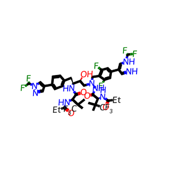 CCC(=O)NC(C(=O)N[C@@H](Cc1ccc(-c2cnn(C(F)F)c2)cc1)[C@@H](O)CN(Cc1c(F)cc(/C(C=N)=C/NC(F)F)cc1F)NC(=O)[C@@H](NC(=O)CC)C(C)(C)C(F)(F)F)C(C)(C)C(F)(F)F